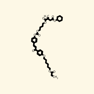 C=CC(=O)OCCCCCCOc1ccc(C(=O)/C=C/c2ccc(OC(=O)OCCCCOC(=O)C(=C)CC(=O)OC3CCCCC3)cc2)cc1